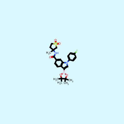 CC1(NC(=O)c2ccc3c(B4OC(C)(C)C(C)(C)O4)cn(-c4ccc(F)cc4)c3c2)CCS(=O)(=O)C1